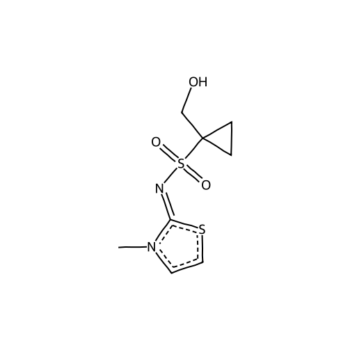 Cn1ccsc1=NS(=O)(=O)C1(CO)CC1